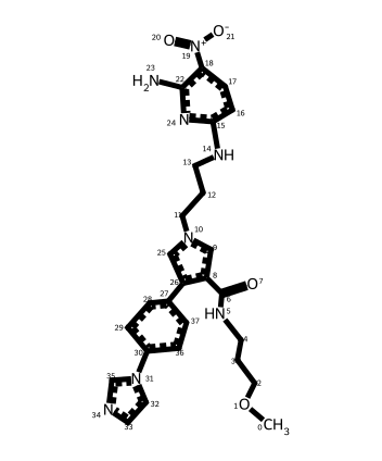 COCCCNC(=O)c1cn(CCCNc2ccc([N+](=O)[O-])c(N)n2)cc1-c1ccc(-n2ccnc2)cc1